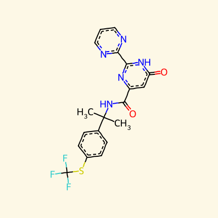 CC(C)(NC(=O)c1cc(=O)[nH]c(-c2ncccn2)n1)c1ccc(SC(F)(F)F)cc1